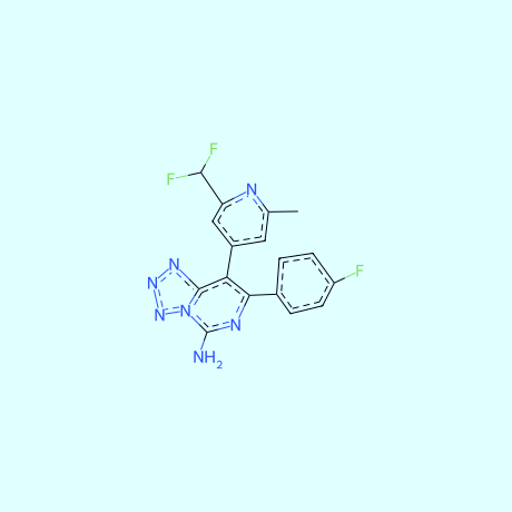 Cc1cc(-c2c(-c3ccc(F)cc3)nc(N)n3nnnc23)cc(C(F)F)n1